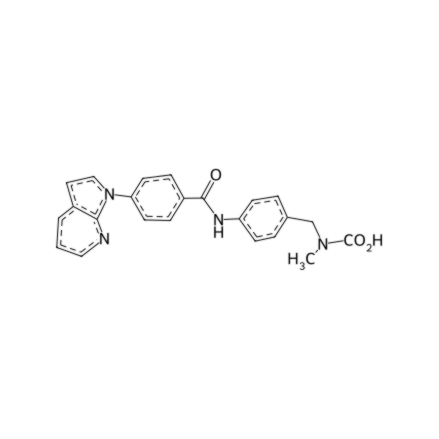 CN(Cc1ccc(NC(=O)c2ccc(-n3ccc4cccnc43)cc2)cc1)C(=O)O